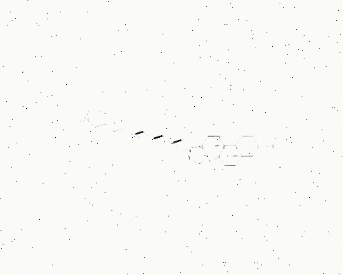 CN(C)CCCO/N=C/C=C/C=C/[C@H]1CC[C@H]2[C@@H]3CC[C@@H]4C[C@@H](O)CC[C@]4(C)[C@H]3CC[C@]12C